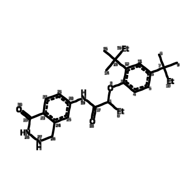 CCC(Oc1ccc(C(C)(C)CC)cc1C(C)(C)CC)C(=O)Nc1ccc2c(c1)CNNC2=O